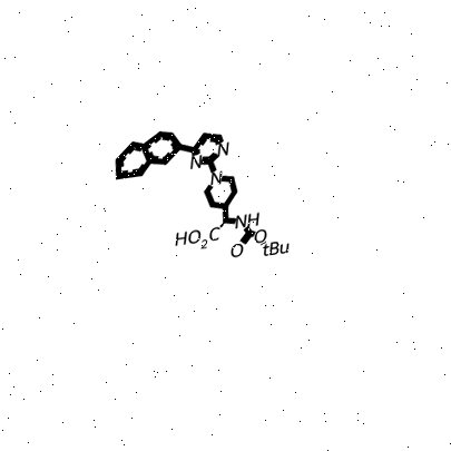 CC(C)(C)OC(=O)N[C@H](C(=O)O)C1CCN(c2nccc(-c3ccc4ccccc4c3)n2)CC1